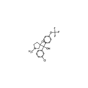 CN1CCC(C)(C(O)(c2ccc(OC(F)(F)F)cc2)c2cccc(Cl)c2)C1